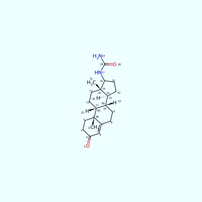 C[C@]12CCC(=O)C=C1CC[C@@H]1[C@H]2CC[C@]2(C)C(NC(N)=O)CC[C@@H]12